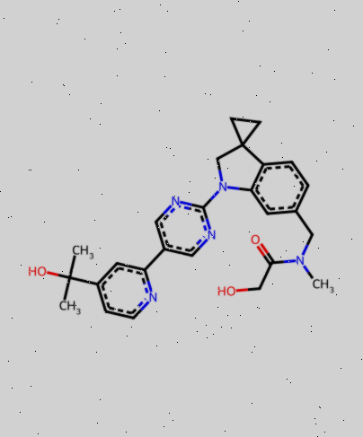 CN(Cc1ccc2c(c1)N(c1ncc(-c3cc(C(C)(C)O)ccn3)cn1)CC21CC1)C(=O)CO